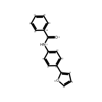 O=C(Nc1ccc(-c2ccco2)cc1)c1ccccc1